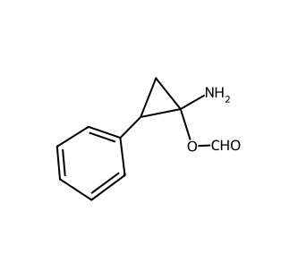 NC1(OC=O)CC1c1ccccc1